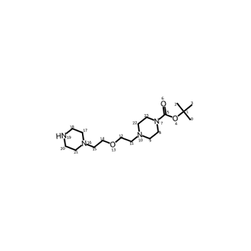 CC(C)(C)OC(=O)N1CCN(CCOCCN2CCNCC2)CC1